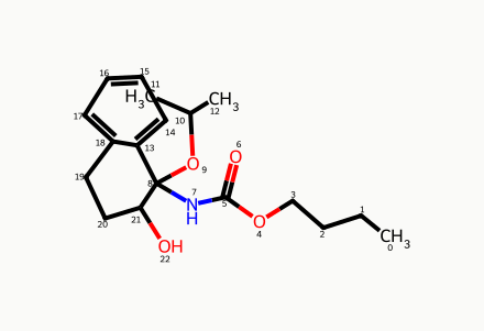 CCCCOC(=O)NC1(OC(C)C)c2ccccc2CCC1O